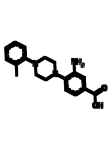 Cc1ccccc1N1CCN(c2ccc(C(=O)O)cc2N)CC1